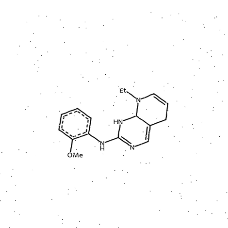 CCN1C=CCC2=CN=C(Nc3ccccc3OC)NC21